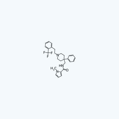 Cn1cccc1C(=O)NCC1(c2ccccc2)CCN(CCc2ccccc2C(F)(F)F)CC1